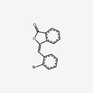 O=C1O/C(=C/c2ccccc2Br)c2ccccc21